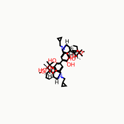 CO[C@@]12CC[C@@]3(C[C@@H]1[C@](C)(O)C(C)(C)C)[C@H]1Cc4cc(-c5cc6c7c(c5O)O[C@H]5[C@]8(OC)CC[C@@]9(C[C@@H]8[C@](C)(O)C(C)(C)C)[C@@H](C6)N(CC6CC6)CC[C@]759)c(O)c5c4[C@@]3(CCN1CC1CC1)[C@H]2O5